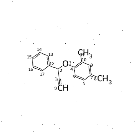 C#CC(Oc1ccc(C)cc1C)c1ccccc1